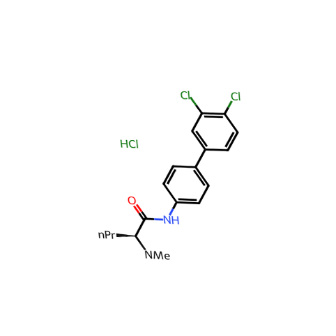 CCC[C@H](NC)C(=O)Nc1ccc(-c2ccc(Cl)c(Cl)c2)cc1.Cl